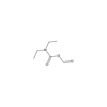 CCN(CC)C(=O)OC=O